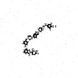 O=C1CCC(N2Cc3c(OCc4ccc(CN5CCN(c6ccc7cn([C@H]8CC[C@H](CNC(=O)c9cc(F)c(O)c(F)c9)CC8)nc7c6)CC5)cc4)cccc3C2=O)C(=O)N1